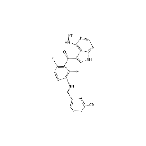 CC(C)Nc1ncnc2[nH]cc(C(=O)c3c(F)ccc(NSc4cccc(C#N)c4)c3F)c12